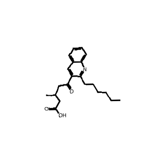 CCCCCCc1nc2ccccc2cc1C(=O)CC(C)CC(=O)O